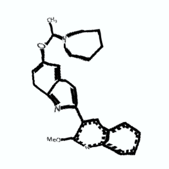 COc1nc2ccccc2cc1C1=CC2=CC(OC(C)N3CCCCC3)=CCC2=N1